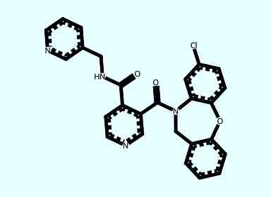 O=C(NCc1cccnc1)c1ccncc1C(=O)N1Cc2ccccc2Oc2ccc(Cl)cc21